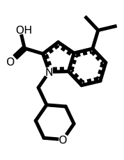 CC(C)c1cccc2c1cc(C(=O)O)n2CC1CCOCC1